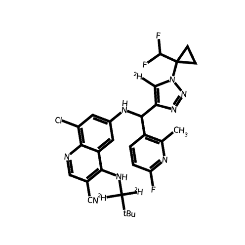 [2H]c1c(C(Nc2cc(Cl)c3ncc(C#N)c(NC([2H])([2H])C(C)(C)C)c3c2)c2ccc(F)nc2C)nnn1C1(C(F)F)CC1